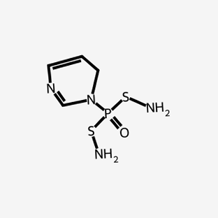 NSP(=O)(SN)N1C=NC=CC1